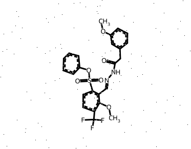 COc1cccc(CC(=O)NN=Cc2c(S(=O)(=O)Oc3ccccc3)ccc(C(F)(F)F)c2OC)c1